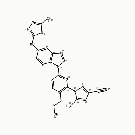 Cc1nnc(Nc2ccc3c(c2)ncn3-c2ccc(CCO)c(-n3nc(C#N)cc3C)n2)s1